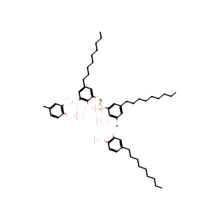 CCCCCCCCCc1ccc(O)c(SSc2cc(CCCCCCCCC)cc(SSc3cc(CCCCCCCCC)cc(SSc4cc(C)ccc4O)c3O)c2O)c1